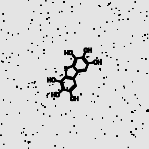 Oc1cc2c(sc3c(O)c(O)c(O)cc32)c(O)c1O